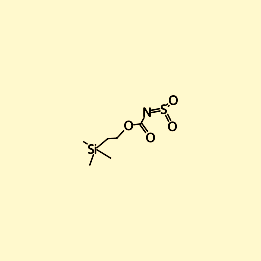 C[Si](C)(C)CCOC(=O)N=S(=O)=O